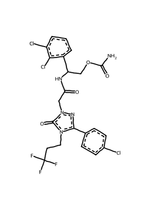 NC(=O)OCC(NC(=O)Cn1nc(-c2ccc(Cl)cc2)n(CCC(F)(F)F)c1=O)c1cccc(Cl)c1Cl